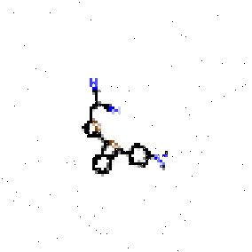 CN(C)c1ccc(-c2sc(-c3ccc(C=C(C#N)C#N)s3)c3ccccc23)cc1